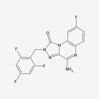 Nc1nc2ccc(F)cc2n2c(=O)n(Cc3c(F)cc(F)cc3F)nc12